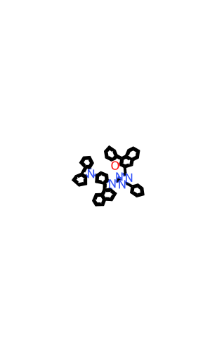 c1ccc(-c2nc(-c3cc4ccccc4c4c3oc3ccccc34)nc(-n3c4ccc(-n5c6ccccc6c6ccccc65)cc4c4c5ccccc5ccc43)n2)cc1